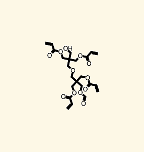 C=CC(=O)OCC(CO)(COCC(COC=O)(COC(=O)C=C)COC(=O)C=C)COC(=O)C=C